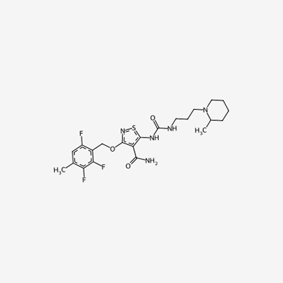 Cc1cc(F)c(COc2nsc(NC(=O)NCCCN3CCCCC3C)c2C(N)=O)c(F)c1F